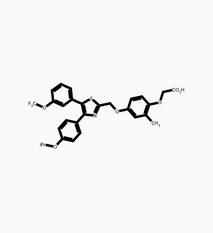 Cc1cc(OCc2nc(-c3ccc(OC(C)C)cc3)c(-c3cccc(OC(F)(F)F)c3)s2)ccc1OCC(=O)O